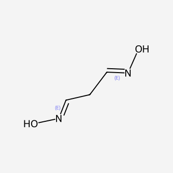 O/N=C/C/C=N/O